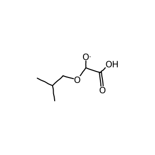 CC(C)COC([O])C(=O)O